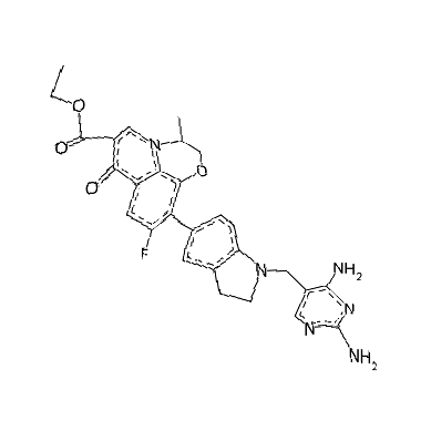 CCOC(=O)c1cn2c3c(c(-c4ccc5c(c4)CCN5Cc4cnc(N)nc4N)c(F)cc3c1=O)OCC2C